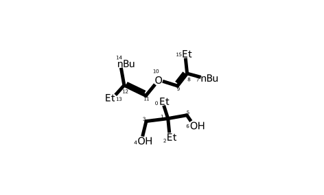 CCC(CC)(CO)CO.CCCCC(=COC=C(CC)CCCC)CC